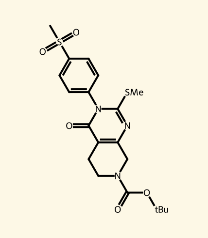 CSc1nc2c(c(=O)n1-c1ccc(S(C)(=O)=O)cc1)CCN(C(=O)OC(C)(C)C)C2